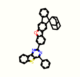 c1ccc(-c2nc(-c3ccc4c(c3)oc3cc5c(cc34)C3(c4ccccc4-5)C4CC5CC(C4)CC3C5)nc3c2sc2ccccc23)cc1